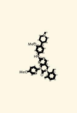 COc1ccc(N2C(=O)N(c3c(C)cccc3C)Cc3cnc(Nc4ccc(C5CCN(C)CC5)c(OC)c4)nc32)nc1